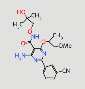 COCC(C)Oc1nc(-c2cccc(C#N)c2)nc(N)c1C(=O)NOCC(C)(C)O